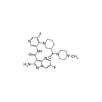 CN1CCN(C(=O)C2CCCN(c3c(F)cncc3NC(=O)c3c(N)nn4cc(F)cnc34)C2)CC1